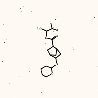 O=C(OC(C(F)F)C(F)(F)F)C1CC2CC1CC2OC1CCCCO1